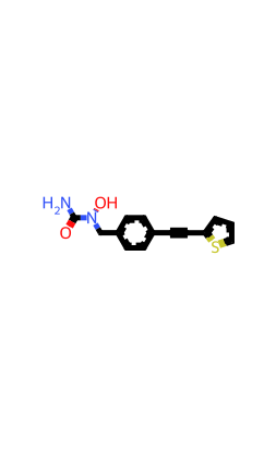 NC(=O)N(O)Cc1ccc(C#Cc2cccs2)cc1